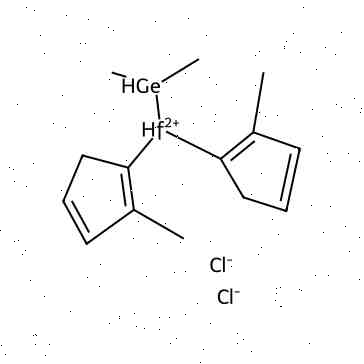 CC1=[C]([Hf+2]([C]2=C(C)C=CC2)[GeH]([CH3])[CH3])CC=C1.[Cl-].[Cl-]